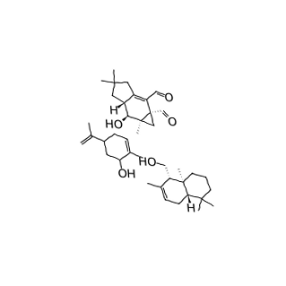 C=C(C)C1CC=C(C)C(O)C1.CC1(C)CC2=C(C=O)[C@@]3(C=O)C[C@@]3(C)[C@@H](O)[C@@H]2C1.CC1=CC[C@H]2C(C)(C)CCC[C@]2(C)[C@H]1CO